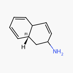 NC1C=CC2C=CC=C[C@H]2C1